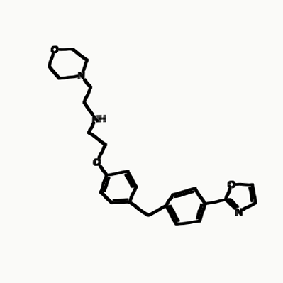 c1coc(-c2ccc(Cc3ccc(OCCNCCN4CCOCC4)cc3)cc2)n1